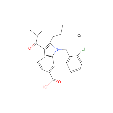 CCCc1c(C(=O)C(C)C)c2ccc(C(=O)O)cc2n1Cc1ccccc1Cl.[Cr]